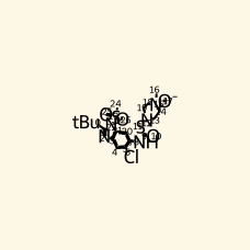 CC(C)(C)c1nc2cc(Cl)c(NC(=O)SN3CC[N+](C)([O-])CC3)cc2n1S(C)(=O)=O